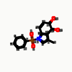 Cc1cn(S(=O)(=O)c2ccccc2)c2c1C(=O)C(=O)C=C2